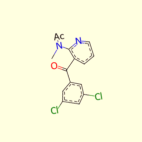 CC(=O)N(C)c1ncccc1C(=O)c1cc(Cl)cc(Cl)c1